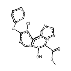 COC(=O)c1c(O)c2ccc(Oc3ccccc3)c(Cl)c2c2ncnn12